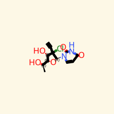 C#CC1(Cl)[C@@H](O)[C@@H]([C@@H](C)O)O[C@H]1n1ccc(=O)[nH]c1=O